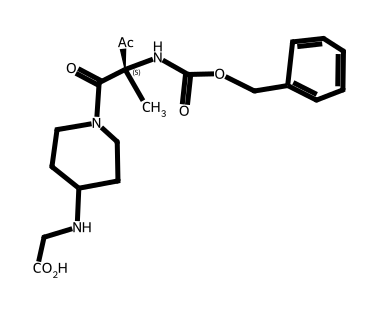 CC(=O)[C@](C)(NC(=O)OCc1ccccc1)C(=O)N1CCC(NCC(=O)O)CC1